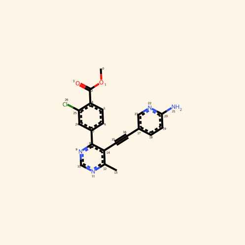 COC(=O)c1ccc(-c2ncnc(C)c2C#Cc2ccc(N)nc2)cc1Cl